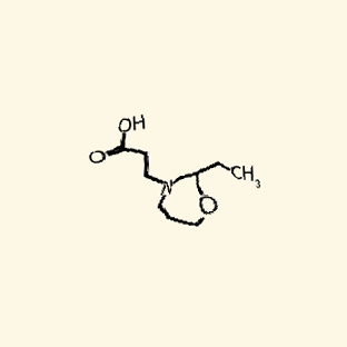 CCC1CN(CCC(=O)O)CCCO1